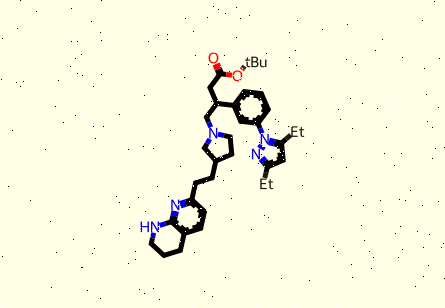 CCc1cc(CC)n(-c2cccc(C(CC(=O)OC(C)(C)C)CN3CCC(CCc4ccc5c(n4)NCCC5)C3)c2)n1